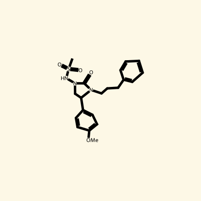 COc1ccc(C2CN(NS(C)(=O)=O)C(=O)N2CCCc2ccccc2)cc1